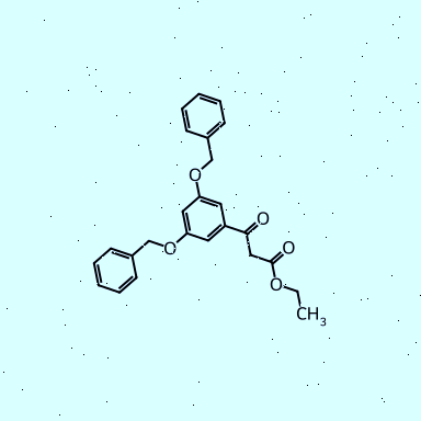 CCOC(=O)CC(=O)c1cc(OCc2ccccc2)cc(OCc2ccccc2)c1